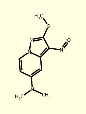 CSc1nn2ccc(N(C)C)cc2c1N=O